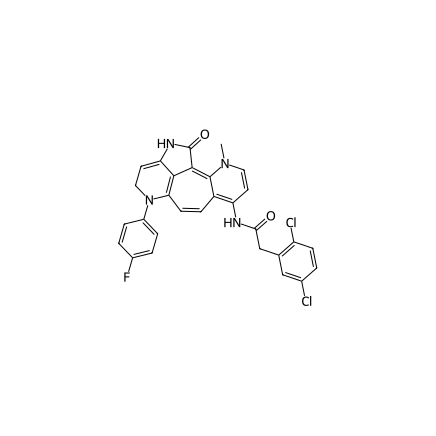 CN1C=CC(NC(=O)Cc2cc(Cl)ccc2Cl)=c2ccc3c4c([nH]c(=O)c-4c21)=CCN3c1ccc(F)cc1